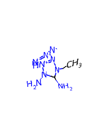 CN1N=[NH+]N(N)C1N.[N-]=[N+]=[N-]